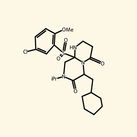 COc1ccc(Cl)cc1S(=O)(=O)C12CN(C(C)C)C(=O)C(CC3CCCCC3)N1C(=O)CCN2